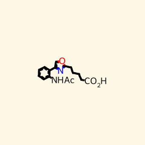 CC(=O)Nc1ccccc1-c1coc(CCCCC(=O)O)n1